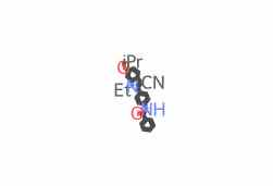 CCN1C(c2ccc(NC(=O)c3ccccc3)cc2)=C(C#N)C2C=CC(OC(C)C)=CC21